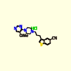 COc1cncnc1N1CCN(CCCc2csc3ccc(C#N)cc23)CC1.Cl